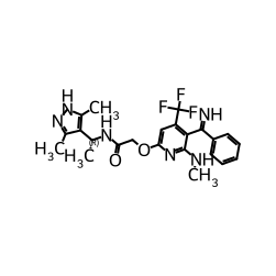 CNc1nc(OCC(=O)N[C@H](C)c2c(C)n[nH]c2C)cc(C(F)(F)F)c1C(=N)c1ccccc1